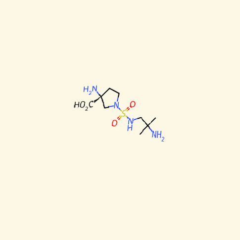 CC(C)(N)CNS(=O)(=O)N1CC[C@](N)(C(=O)O)C1